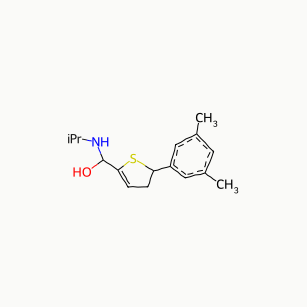 Cc1cc(C)cc(C2CC=C(C(O)NC(C)C)S2)c1